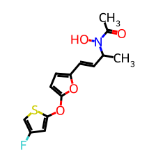 CC(=O)N(O)C(C)C=Cc1ccc(Oc2cc(F)cs2)o1